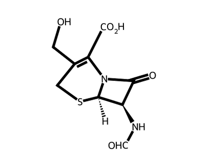 O=CN[C@@H]1C(=O)N2C(C(=O)O)=C(CO)CS[C@H]12